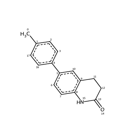 Cc1ccc(-c2ccc3c(c2)CCC(=O)N3)cc1